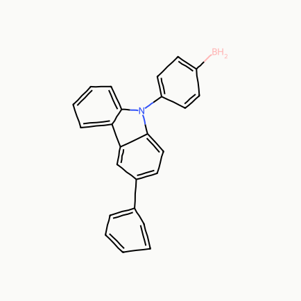 Bc1ccc(-n2c3ccccc3c3cc(-c4ccccc4)ccc32)cc1